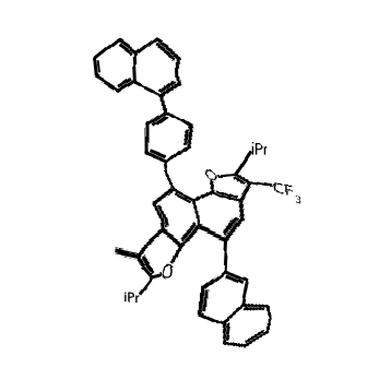 Cc1c(C(C)C)oc2c1cc(-c1ccc(-c3cccc4ccccc34)cc1)c1c3oc(C(C)C)c(C(F)(F)F)c3cc(-c3ccc4ccccc4c3)c21